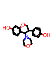 Oc1ccc(C2COc3cc(O)ccc3C2N2CCOCC2)cc1